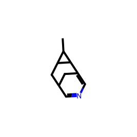 CC1C2CC3C=NC=C(C3)C12